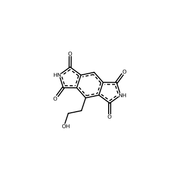 O=c1[nH]c(=O)c2c(CCO)c3c(=O)[nH]c(=O)c3cc12